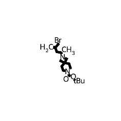 C=C(CBr)CC(C)N1CC2(CCN(C(=O)OC(C)(C)C)CC2)C1